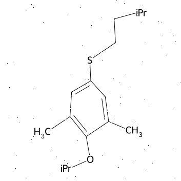 Cc1cc(SCCC(C)C)cc(C)c1OC(C)C